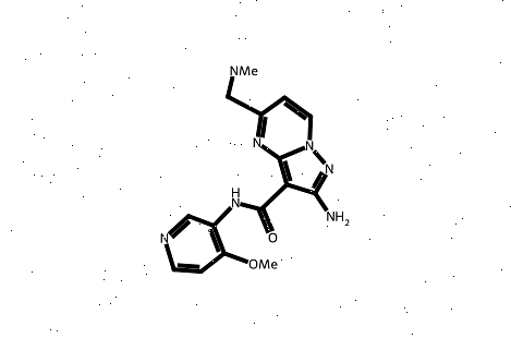 CNCc1ccn2nc(N)c(C(=O)Nc3cnccc3OC)c2n1